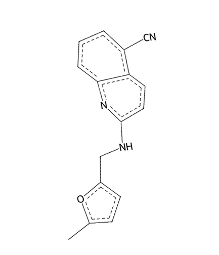 Cc1ccc(CNc2ccc3c(C#N)cccc3n2)o1